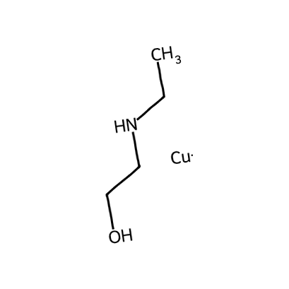 CCNCCO.[Cu]